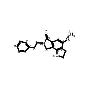 COc1cc2c(c3c1CCO3)CN(CCc1ccccc1)C2=O